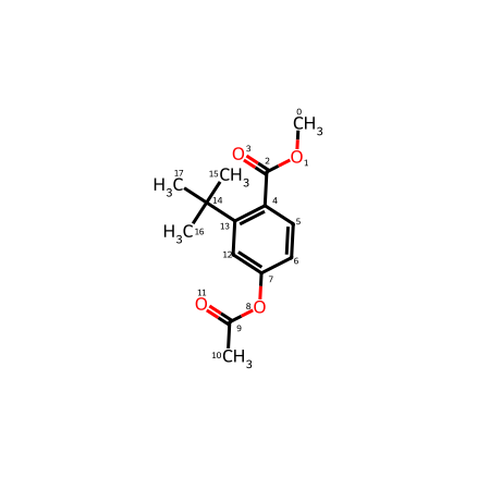 COC(=O)c1ccc(OC(C)=O)cc1C(C)(C)C